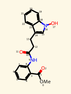 COC(=O)c1ccccc1NC(=O)CCc1cn(O)c2ccccc12